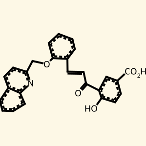 O=C(O)c1ccc(O)c(C(=O)/C=C/c2ccccc2OCc2ccc3ccccc3n2)c1